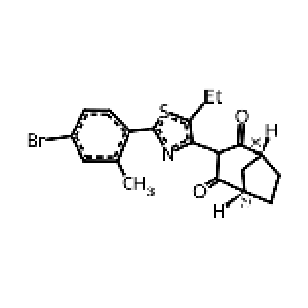 CCc1sc(-c2ccc(Br)cc2C)nc1C1C(=O)[C@@H]2CC[C@@H](C2)C1=O